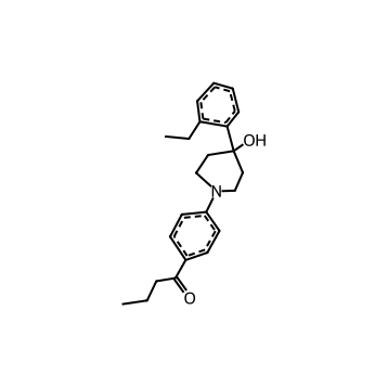 CCCC(=O)c1ccc(N2CCC(O)(c3ccccc3CC)CC2)cc1